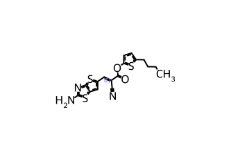 CCCCc1ccc(OC(=O)/C(C#N)=C/c2cc3sc(N)nc3s2)s1